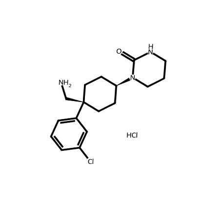 Cl.NC[C@]1(c2cccc(Cl)c2)CC[C@H](N2CCCNC2=O)CC1